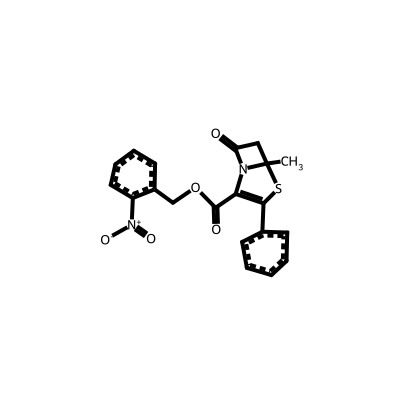 CC12CC(=O)N1C(C(=O)OCc1ccccc1[N+](=O)[O-])=C(c1ccccc1)S2